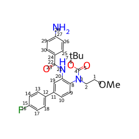 COCCN(C(=O)OC(C)(C)C)c1ccc(-c2ccc(F)cc2)cc1NC(=O)c1ccc(N)cc1